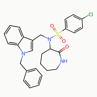 O=C1NCCCCC1N(Cc1cn(Cc2ccccc2)c2ccccc12)S(=O)(=O)c1ccc(Cl)cc1